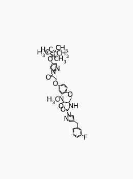 CN1C(=O)[C@@H](NC(=O)n2cc(Cc3cccc(F)c3)cn2)COc2ccc(OCC(=O)n3cc(O[Si](C)(C)C(C)(C)C)cn3)cc21